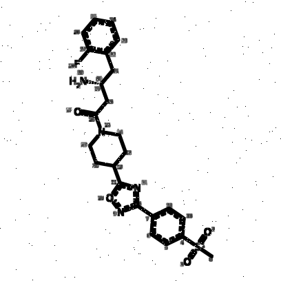 CS(=O)(=O)c1ccc(-c2noc(C3CCN(C(=O)C[C@H](N)Cc4ccccc4F)CC3)n2)cc1